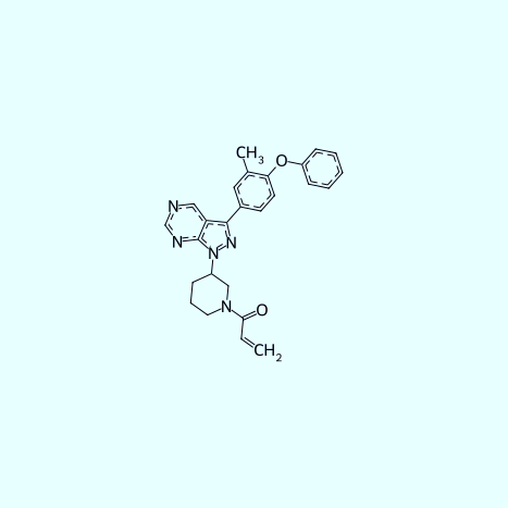 C=CC(=O)N1CCCC(n2nc(-c3ccc(Oc4ccccc4)c(C)c3)c3cncnc32)C1